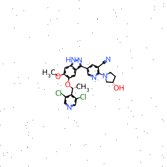 COc1cc2[nH]nc(-c3cnc(N4CC[C@H](O)C4)c(C#N)c3)c2cc1O[C@H](C)c1c(Cl)cncc1Cl